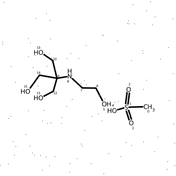 CS(=O)(=O)O.OCCNC(CO)(CO)CO